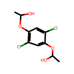 CC(O)Oc1cc(Cl)c(OC(C)O)cc1Cl